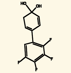 OC1(O)C=CC(c2cc(F)c(F)c(F)c2F)=CC1